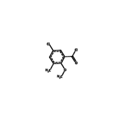 COc1c(C)cc(Cl)cc1C(=O)Cl